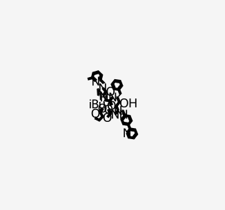 CC[C@H](C)[C@@H](C(=O)N[C@@H](Cc1ccccc1)[C@@H](O)CN(Cc1ccc(-c2ccccn2)cc1)NC(=O)O[C@H]1CCOC1=O)N1CCN(Cc2cccc(C)n2)C1=O